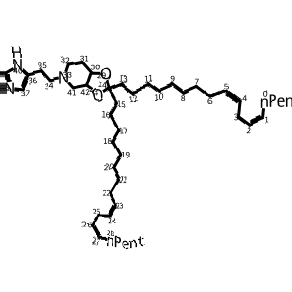 CCCCC/C=C\C/C=C\CCCCCCCCC1(CCCCCCCC/C=C\C/C=C\CCCCC)OC2CCN(CCc3cnc[nH]3)CC2O1